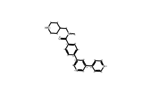 CN(CC1CCNCC1)C(=O)c1ccc(-c2cncc(-c3ccncc3)c2)cc1